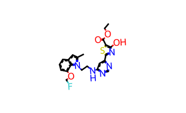 CCOC(=O)c1sc(-c2cc(NCCn3c(C)cc4cccc(OCF)c43)ncn2)nc1O